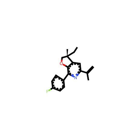 C=C(C)c1cc2c(c(-c3ccc(F)cc3)n1)OC[C@]2(C)CC